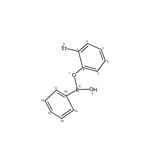 CCc1ccccc1OB(O)c1ccccc1